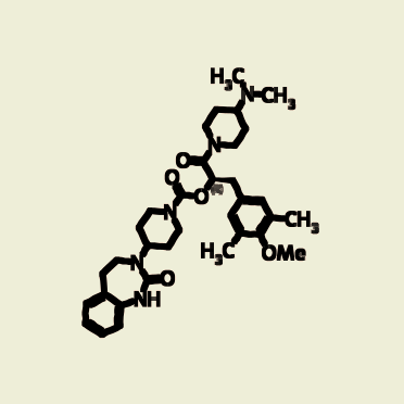 COc1c(C)cc(C[C@@H](OC(=O)N2CCC(N3CCc4ccccc4NC3=O)CC2)C(=O)N2CCC(N(C)C)CC2)cc1C